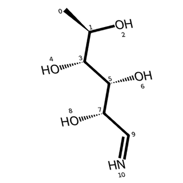 C[C@@H](O)[C@@H](O)[C@H](O)[C@@H](O)C=N